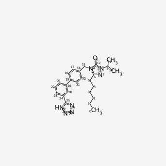 CCCCCCc1nn(C(C)C)c(=O)n1Cc1ccc(-c2cccc(-c3nnn[nH]3)c2)cc1